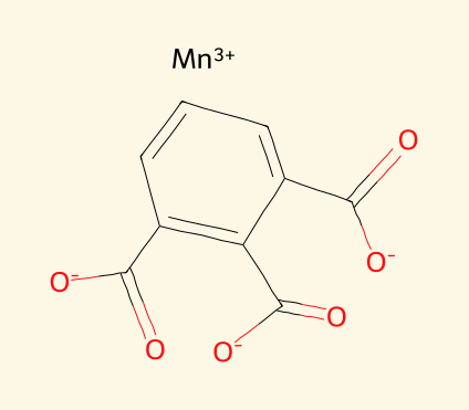 O=C([O-])c1cccc(C(=O)[O-])c1C(=O)[O-].[Mn+3]